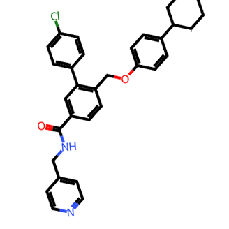 O=C(NCc1ccncc1)c1ccc(COc2ccc(C3[CH]CCCC3)cc2)c(-c2ccc(Cl)cc2)c1